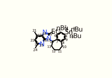 CCC[CH2][Sn]([CH2]CCC)([CH2]CCC)[c]1ccc2c(c1)CCCCC2n1c(CC)nc2c(C)cc(C)nc21